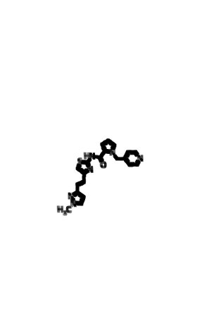 Cn1ccc(C=Cc2csc(NC(=O)c3cccn3Cc3ccncc3)n2)n1